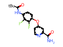 CC(C)(C)C(=O)Nc1ccc(Oc2ccnc(C(N)=O)c2)c(F)c1F